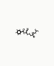 CC(C)CO[PH](=O)CCCC(C#N)OC(=O)c1ccccc1